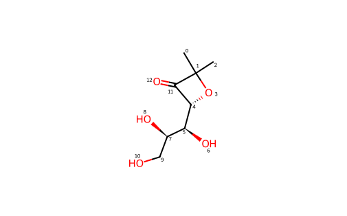 CC1(C)O[C@H]([C@@H](O)[C@H](O)CO)C1=O